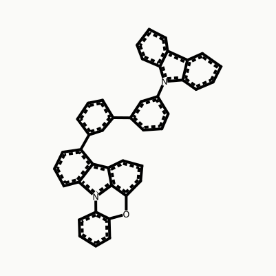 c1cc(-c2cccc(-n3c4ccccc4c4ccccc43)c2)cc(-c2cccc3c2c2cccc4c2n3-c2ccccc2O4)c1